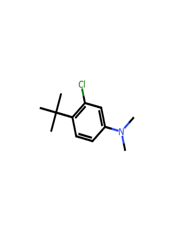 CN(C)c1ccc(C(C)(C)C)c(Cl)c1